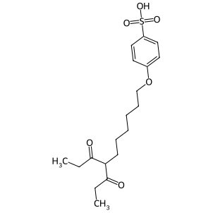 CCC(=O)C(CCCCCCOc1ccc(S(=O)(=O)O)cc1)C(=O)CC